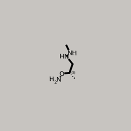 CNNC[C@H](C)ON